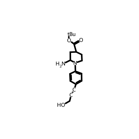 CC(C)(C)OC(=O)C1CCN(c2ccc(CCCO)cc2)C(N)C1